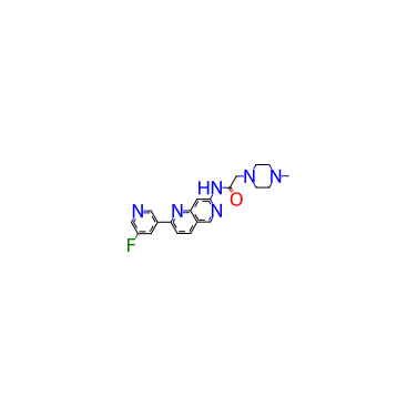 CN1CCN(CC(=O)Nc2cc3nc(-c4cncc(F)c4)ccc3cn2)CC1